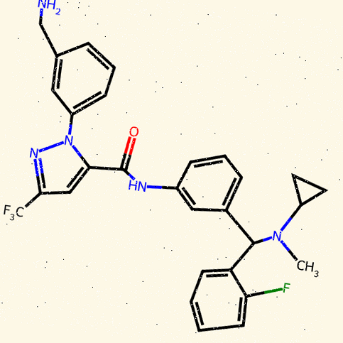 CN(C1CC1)C(c1cccc(NC(=O)c2cc(C(F)(F)F)nn2-c2cccc(CN)c2)c1)c1ccccc1F